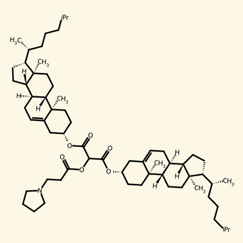 CC(C)CCC[C@@H](C)[C@H]1CC[C@H]2[C@@H]3CC=C4C[C@@H](OC(=O)C(OC(=O)CCN5CCCC5)C(=O)O[C@H]5CC[C@@]6(C)C(=CC[C@H]7[C@@H]8CC[C@H]([C@H](C)CCCC(C)C)[C@@]8(C)CC[C@@H]76)C5)CC[C@]4(C)[C@H]3CC[C@]12C